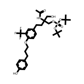 CC(=O)NC(CO)(CCc1ccc(OCCCc2ccc(O)cc2)c(C(F)(F)F)c1)COP(=O)(OC(C)(C)C)OC(C)(C)C